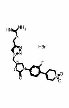 Br.N=C(N)SCc1cn(C[C@H]2CN(c3ccc(C4=CCS(=O)(=O)CC4)c(F)c3)C(=O)O2)nn1